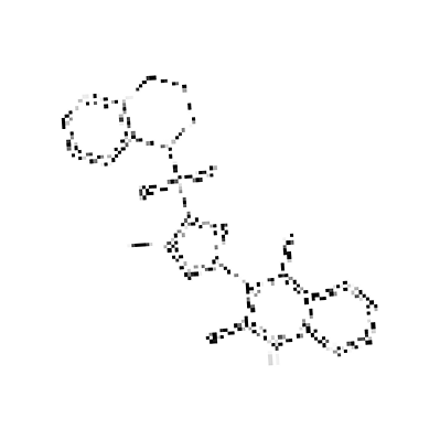 Cc1nc(-n2c(=O)[nH]c3ccccc3c2=O)sc1S(=O)(=O)N1CCCc2ccccc21